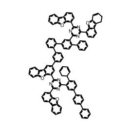 C1=CCC(c2ccc(-c3ccc(-c4ccccc4)cc3)cc2-c2nc(-c3cccc4c3oc3ccccc34)nc(-c3cc(-c4cccc(-c5ccccc5-c5ccc(-c6ccccc6)c(-c6nc(-c7cccc8c9c(oc78)C=CCC9)nc(-c7cccc8c7oc7ccccc78)n6)c5)c4)cc4c3oc3ccccc34)n2)C=C1